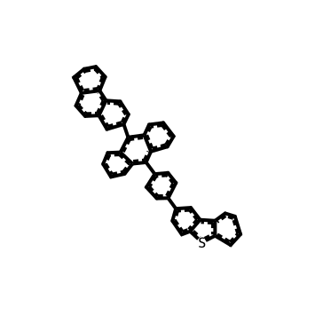 c1ccc2c(c1)ccc1cc(-c3c4ccccc4c(-c4ccc(-c5ccc6sc7ccccc7c6c5)cc4)c4ccccc34)ccc12